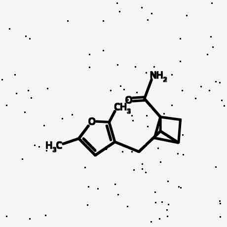 Cc1cc(CC2C3CC2(C(N)=O)C3)c(C)o1